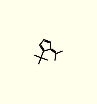 CC(C)=C1C=CC=C1C(C)(C)C